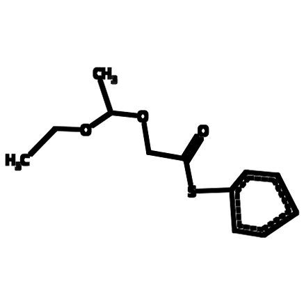 CCOC(C)OCC(=O)Sc1ccccc1